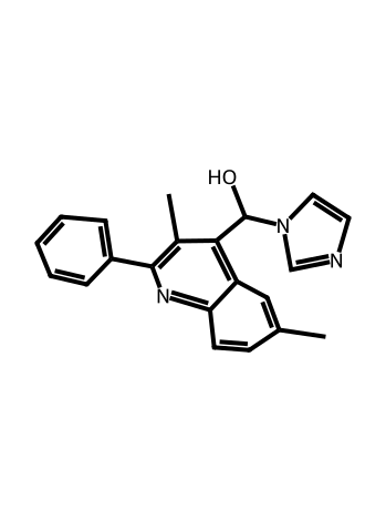 Cc1ccc2nc(-c3ccccc3)c(C)c(C(O)n3ccnc3)c2c1